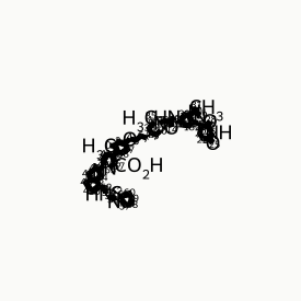 Cc1cc(OCCC[C@@H]2CCN(CC(=O)Nc3ccc4c(C5CCC(=O)NC5=O)nn(C)c4c3)[C@@H](C)C2)ccc1-c1ccc(N2CCc3cccc(CNc4nc5ccccc5s4)c3C2)nc1C(=O)O